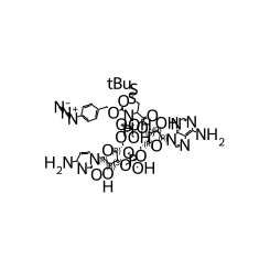 CC(C)(C)SSCC(NC(=O)OCc1ccc(N=[N+]=[N-])cc1)C(=O)O[C@H]1[C@@H](O)[C@H](n2cnc3c(N)ncnc32)O[C@@H]1COP(=O)(O)O[C@H]1[C@@H](O)[C@H](n2ccc(N)nc2=O)O[C@@H]1COP(=O)(O)O